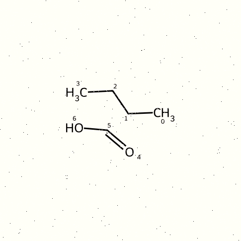 CCCC.O=[C]O